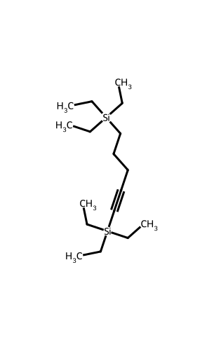 CC[Si](C#CCCC[Si](CC)(CC)CC)(CC)CC